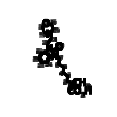 CN(CCCCCCn1c(=O)n(CCN2CCOCC2)c2ccccc21)C(=O)O